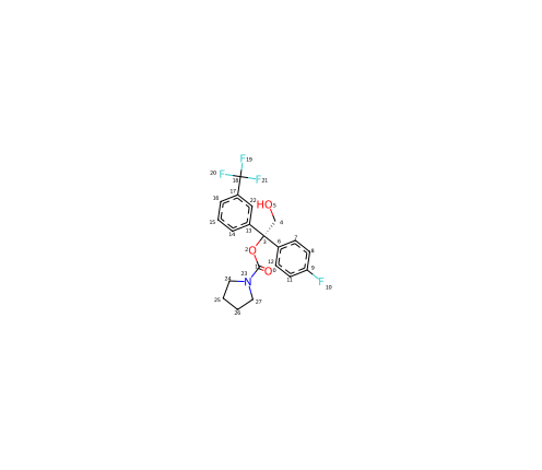 O=C(O[C@](CO)(c1ccc(F)cc1)c1cccc(C(F)(F)F)c1)N1CCCC1